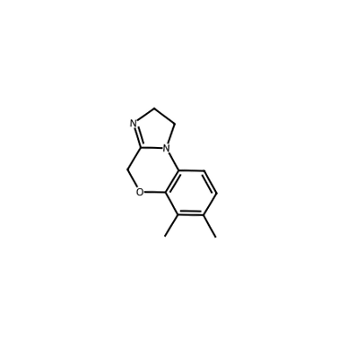 Cc1ccc2c(c1C)OCC1=NCCN12